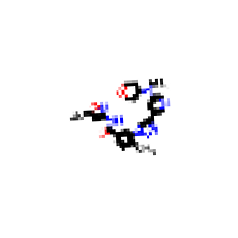 Cc1ccc(C(=O)Nc2cc(C(C)(C)C)on2)cc1-n1cc(-c2cncc(N(C)C3CCOCC3)c2)nn1